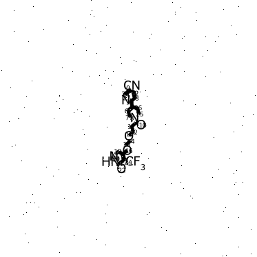 N#Cc1ccc(C2=CCN(C(=O)CCOCCOc3cn[nH]c(=O)c3C(F)(F)F)CC2)nc1